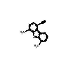 C#Cc1ccc([SiH3])c2oc3c([SiH3])cccc3c12